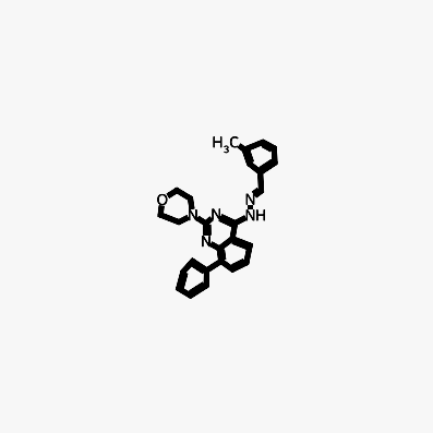 Cc1cccc(C=NNc2nc(N3CCOCC3)nc3c(-c4ccccc4)cccc23)c1